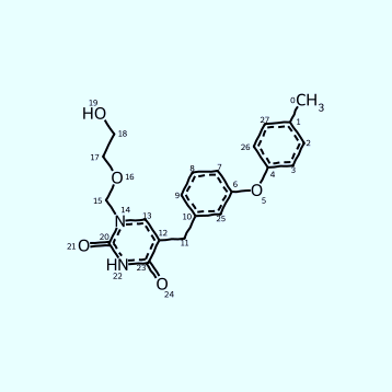 Cc1ccc(Oc2cccc(Cc3cn(COCCO)c(=O)[nH]c3=O)c2)cc1